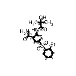 CCc1ccccc1S(=O)(=O)c1cc(C(N)=O)c(NC(=O)C(C)(C)O)s1